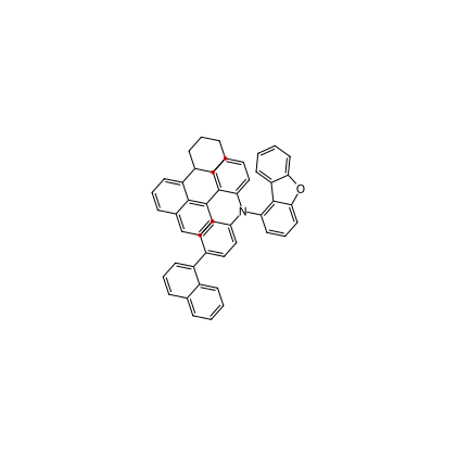 c1ccc(N(c2ccc(-c3cccc4ccccc34)cc2)c2cccc3oc4ccccc4c23)c(-c2cccc3cccc(C4CCCCC4)c23)c1